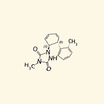 Cc1ccccc1[C@H]1C=CC=C[C@@H]1n1[nH]c(=O)n(C)c1=O